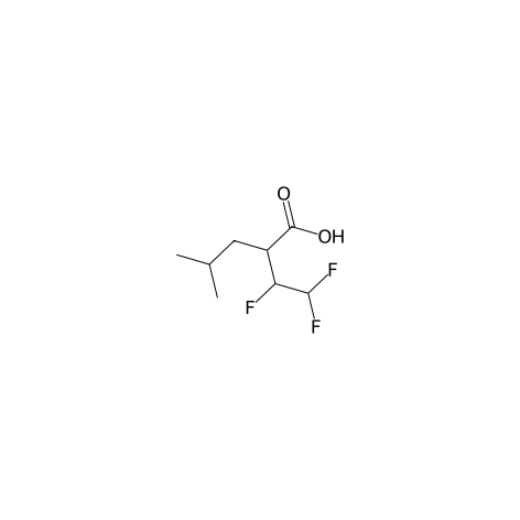 CC(C)CC(C(=O)O)C(F)C(F)F